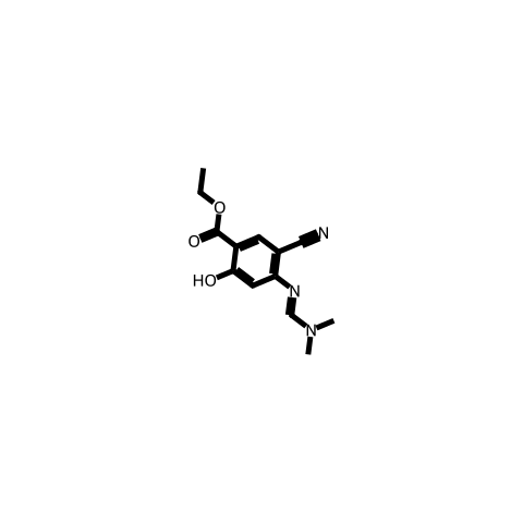 CCOC(=O)c1cc(C#N)c(/N=C/N(C)C)cc1O